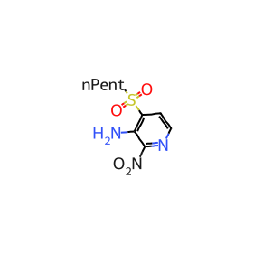 CCCCCS(=O)(=O)c1ccnc([N+](=O)[O-])c1N